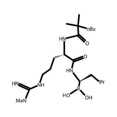 CCCCC(C)(C)C(=O)N[C@@H](CCCNC(=N)NC)C(=O)N[C@@H](CC(C)C)B(O)O